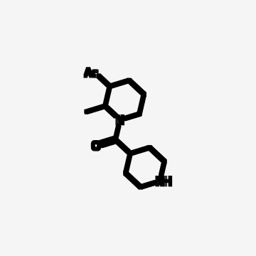 CC(=O)C1CCCN(C(=O)C2CCNCC2)C1C